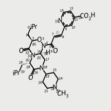 CC(C)C[C@H]1ON(C(=O)/C=C/c2cc(C(=O)O)ccn2)[C@H]2CN(C3CCN(C)CC3)C(=O)[C@H](CC(C)C)N2C1=O